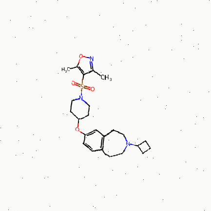 Cc1noc(C)c1S(=O)(=O)N1CCC(Oc2ccc3c(c2)CCN(C2CCC2)CC3)CC1